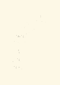 FC(F)(F)Oc1ccc(-n2cc(C#Cn3ccnc3)cn2)cc1